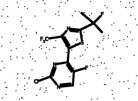 CC(C)(F)c1nc(C(F)(F)F)c(-c2nc(Cl)ncc2F)s1